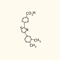 Cc1ccc(-c2csc(-c3ccc(C(=O)O)cc3)n2)cc1C